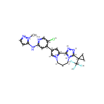 Cn1nccc1Nc1cc(-c2cc3n(c2)CCCn2c-3nnc2C2(C(F)(F)F)CC2)c(Cl)cn1